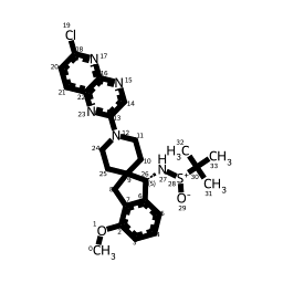 COc1cccc2c1CC1(CCN(c3cnc4nc(Cl)ccc4n3)CC1)[C@@H]2N[S+]([O-])C(C)(C)C